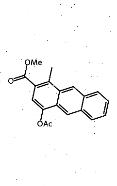 COC(=O)c1cc(OC(C)=O)c2cc3ccccc3cc2c1C